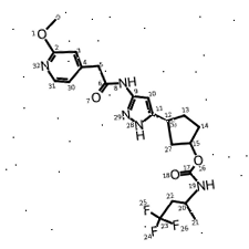 COc1cc(CC(=O)Nc2cc([C@H]3CCC(OC(=O)NC(C)CC(F)(F)F)C3)[nH]n2)ccn1